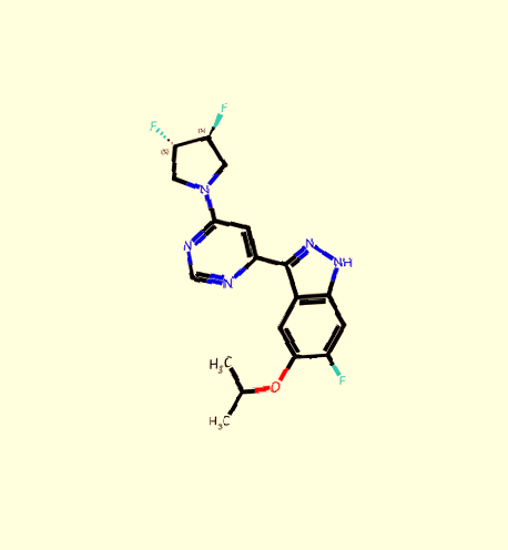 CC(C)Oc1cc2c(-c3cc(N4C[C@H](F)[C@@H](F)C4)ncn3)n[nH]c2cc1F